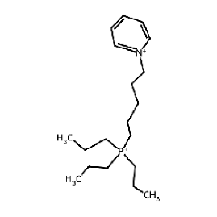 CCC[P+](CCC)(CCC)CCCCC[n+]1ccccc1